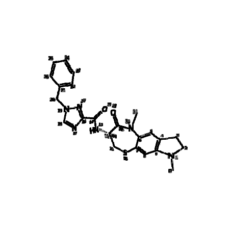 CN1CCc2cc3c(cc21)SC[C@H](NC(=O)c1ncn(Cc2ccccc2)n1)C(=O)N3C